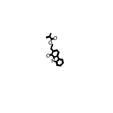 C=C(C)C(=O)OCCC1=CC=C2C(=Nc3ccccc32)C1=O